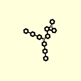 c1ccc(-c2ccc(-c3ccc(N(c4ccc(-c5ccc(-c6ccccc6)cc5)cc4)c4cccc(-c5cccc6c5c5ccccc5n6-c5ccccc5)c4)cc3)cc2)cc1